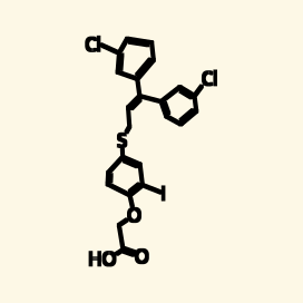 O=C(O)COc1ccc(SCC=C(c2cccc(Cl)c2)c2cccc(Cl)c2)cc1I